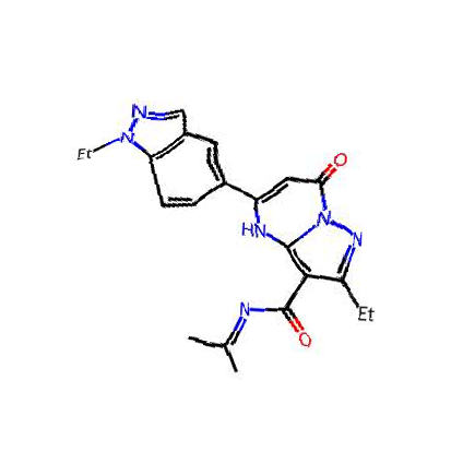 CCc1nn2c(=O)cc(-c3ccc4c(cnn4CC)c3)[nH]c2c1C(=O)N=C(C)C